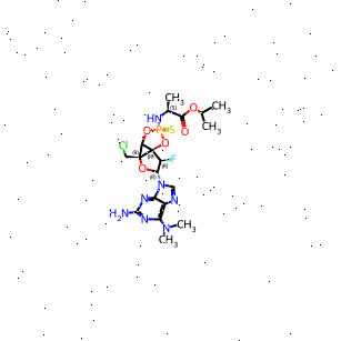 CC(C)OC(=O)[C@H](C)NP1(=S)OC2[C@@]3(CCl)O[C@@H](n4cnc5c(N(C)C)nc(N)nc54)[C@H](F)[C@@]23O1